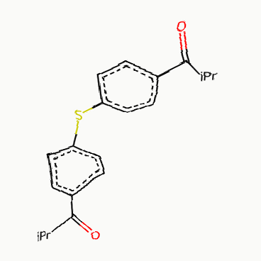 CC(C)C(=O)c1ccc(Sc2ccc(C(=O)C(C)C)cc2)cc1